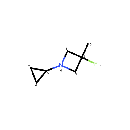 CC1(F)CN(C2CC2)C1